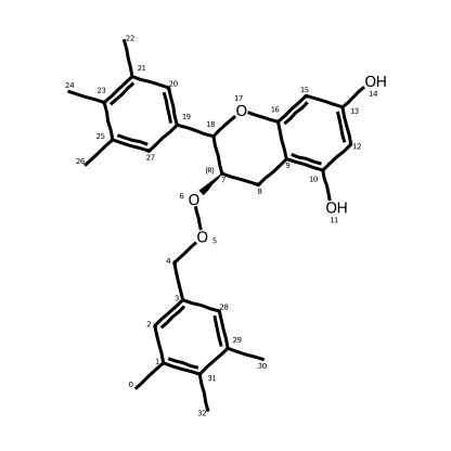 Cc1cc(COO[C@@H]2Cc3c(O)cc(O)cc3OC2c2cc(C)c(C)c(C)c2)cc(C)c1C